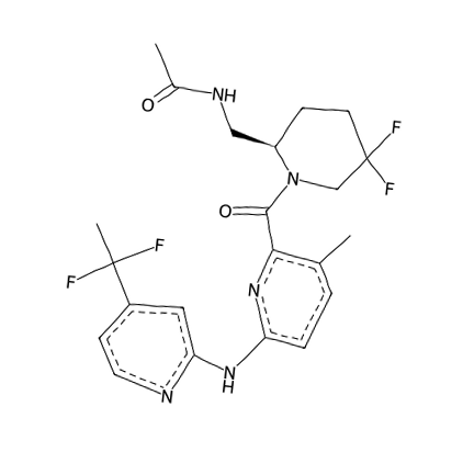 CC(=O)NC[C@H]1CCC(F)(F)CN1C(=O)c1nc(Nc2cc(C(C)(F)F)ccn2)ccc1C